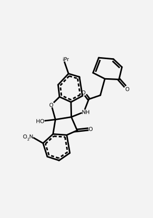 CC(C)c1ccc2c(c1)OC1(O)c3c(cccc3[N+](=O)[O-])C(=O)C21NC(=O)CC1C=CC=CC1=O